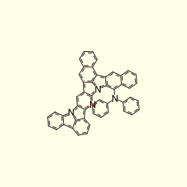 c1ccc(N(c2ccccc2)c2c3ccccc3cc3c4c5ccccc5cc5c6cc7c(nc6n(c23)c54)c2cccc3c4ccccc4n7c32)cc1